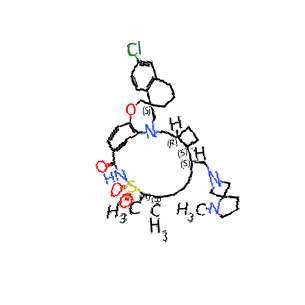 C[C@@H]1[C@@H](C)CCC[C@H](CN2CC3(CCCN3C)C2)[C@@H]2CC[C@H]2CN2C[C@@]3(CCCc4cc(Cl)ccc43)COc3ccc(cc32)C(=O)NS1(=O)=O